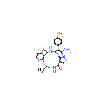 CC1CNC(=O)c2cnn3c(N)c(-c4ccc(P)cc4)c(nc23)NC(C)c2cc(F)cnc2O1